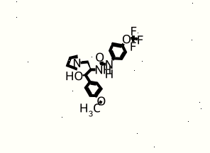 COc1ccc([C@@H](O)[C@@H](CN2CCCC2)NC(=O)Nc2ccc(OC(F)(F)F)cc2)cc1